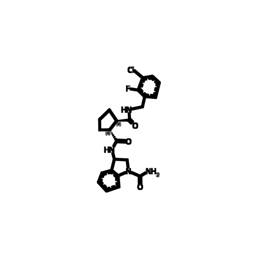 NC(=O)N1CC(NC(=O)[C@@H]2CCC[C@H]2C(=O)NCc2cccc(Cl)c2F)c2ccccc21